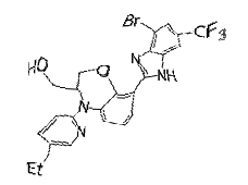 CCc1ccc(N2c3cccc(-c4nc5c(Br)cc(C(F)(F)F)cc5[nH]4)c3OCC2CO)nc1